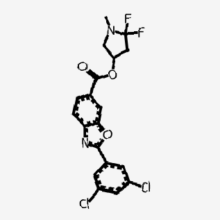 CN1CC(OC(=O)c2ccc3nc(-c4cc(Cl)cc(Cl)c4)oc3c2)CC1(F)F